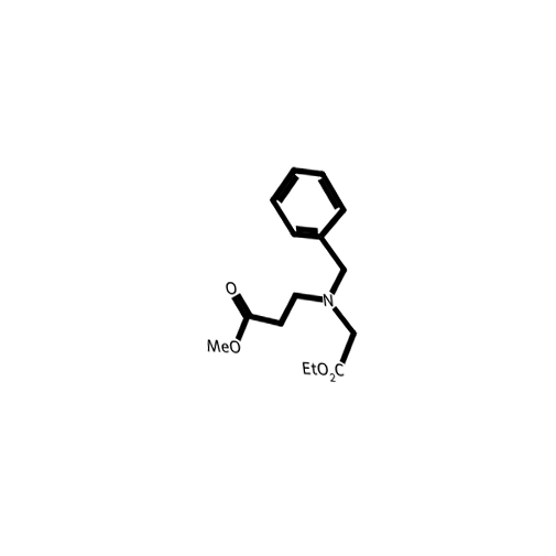 CCOC(=O)CN(CCC(=O)OC)Cc1ccccc1